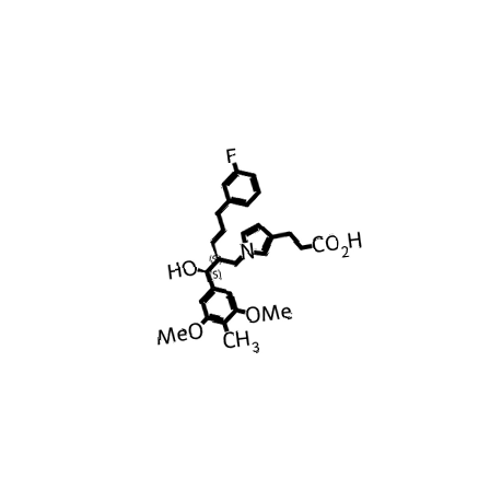 COc1cc([C@@H](O)[C@@H](CCCc2cccc(F)c2)Cn2ccc(CCC(=O)O)c2)cc(OC)c1C